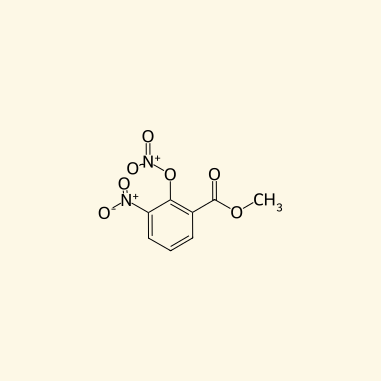 COC(=O)c1cccc([N+](=O)[O-])c1O[N+](=O)[O-]